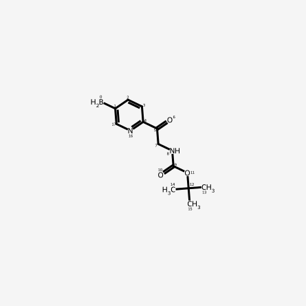 Bc1ccc(C(=O)CNC(=O)OC(C)(C)C)nc1